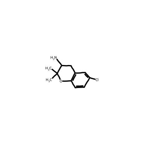 CC1(C)Oc2ccc(Cl)cc2CC1N